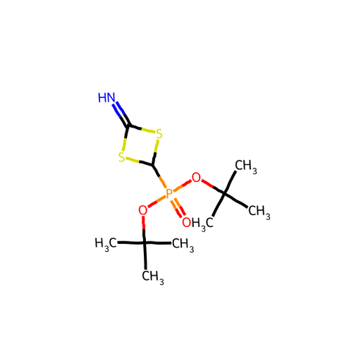 CC(C)(C)OP(=O)(OC(C)(C)C)C1SC(=N)S1